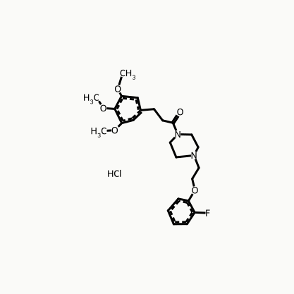 COc1cc(CCC(=O)N2CCN(CCOc3ccccc3F)CC2)cc(OC)c1OC.Cl